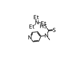 CCN(CC)CC.CN(C(=S)S)c1ccncc1